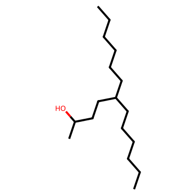 CCCCCCC(CCCCCC)CCC(C)O